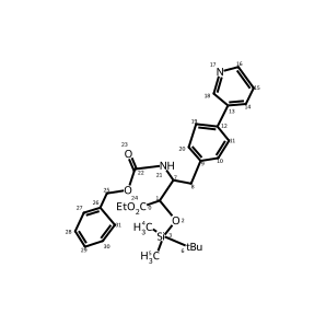 CCOC(=O)C(O[Si](C)(C)C(C)(C)C)C(Cc1ccc(-c2cccnc2)cc1)NC(=O)OCc1ccccc1